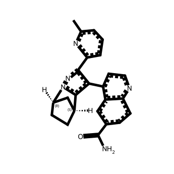 Cc1cccc(-c2nn3c(c2-c2ccnc4ccc(C(N)=O)cc24)[C@H]2CC[C@@H]3C2)n1